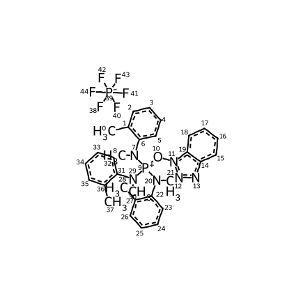 Cc1ccccc1N(C)[P+](On1nnc2ccccc21)(N(C)c1ccccc1C)N(C)c1ccccc1C.F[P-](F)(F)(F)(F)F